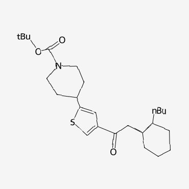 CCCCC1CCCCC1CC(=O)c1csc(C2CCN(C(=O)OC(C)(C)C)CC2)c1